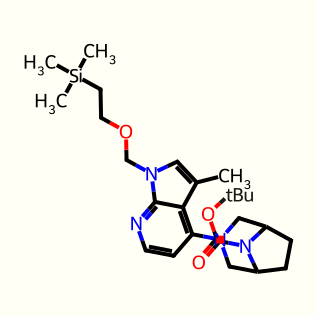 Cc1cn(COCC[Si](C)(C)C)c2nccc(N3CC4CCC(C3)N4C(=O)OC(C)(C)C)c12